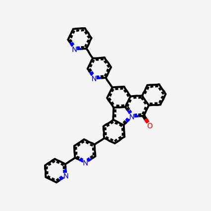 O=c1c2ccccc2c2cc(-c3ccc(-c4ccccn4)cn3)cc3c4cc(-c5ccc(-c6ccccn6)nc5)ccc4n1c23